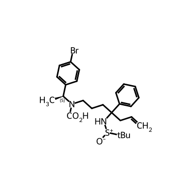 C=CCC(CCCN(C(=O)O)[C@@H](C)c1ccc(Br)cc1)(N[S+]([O-])C(C)(C)C)c1ccccc1